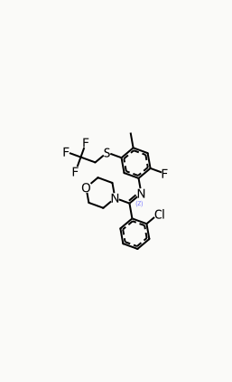 Cc1cc(F)c(/N=C(/c2ccccc2Cl)N2CCOCC2)cc1SCC(F)(F)F